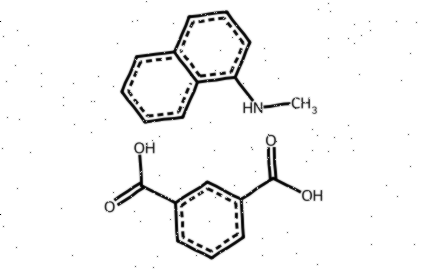 CNc1cccc2ccccc12.O=C(O)c1cccc(C(=O)O)c1